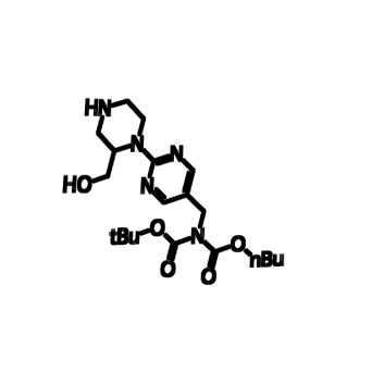 CCCCOC(=O)N(Cc1cnc(N2CCNCC2CO)nc1)C(=O)OC(C)(C)C